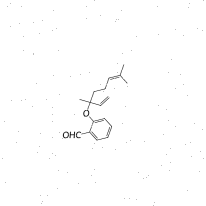 C=CC(C)(CCC=C(C)C)Oc1ccccc1C=O